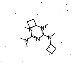 CN(C)C(=N/C(N(C)C1CCC1)=[N+](/C)C1CCC1)N(C)C